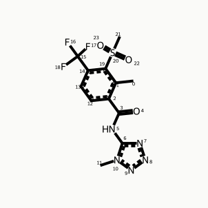 Cc1c(C(=O)Nc2nnnn2C)ccc(C(F)(F)F)c1S(C)(=O)=O